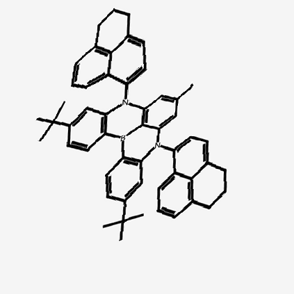 Cc1cc2c3c(c1)N(c1ccc4c5c(cccc15)CCC4)c1cc(C(C)(C)C)ccc1B3c1ccc(C(C)(C)C)cc1N2c1ccc2c3c(cccc13)CCC2